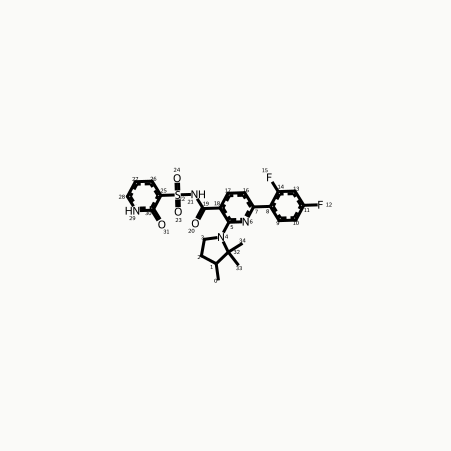 CC1CCN(c2nc(-c3ccc(F)cc3F)ccc2C(=O)NS(=O)(=O)c2ccc[nH]c2=O)C1(C)C